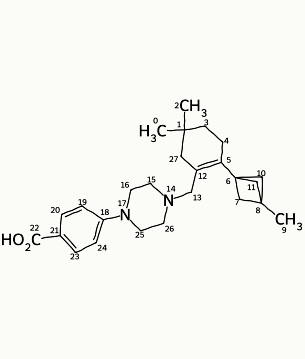 CC1(C)CCC(C23CC(C)(C2)C3)=C(CN2CCN(c3ccc(C(=O)O)cc3)CC2)C1